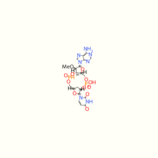 CO[C@@H]1[C@@H]2O[PH](=O)OC[C@@H]3C[C@@H](OP(=O)(O)OC[C@H]2O[C@H]1n1cnc2c(N)ncnc21)[C@H](n1ccc(=O)[nH]c1=O)O3